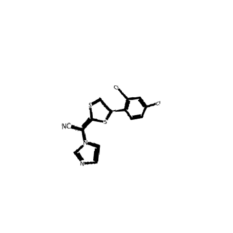 N#CC(=C1SC[C@@H](c2ccc(Cl)cc2Cl)S1)n1ccnc1